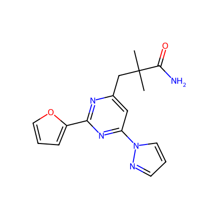 CC(C)(Cc1cc(-n2cccn2)nc(-c2ccco2)n1)C(N)=O